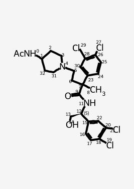 CC(=O)NC1CCN(CCC(C)(C(=O)N[C@H](CO)c2ccc(Cl)c(Cl)c2)c2ccc(Cl)c(Cl)c2)CC1